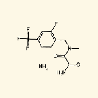 CN(Cc1ccc(C(F)(F)F)cc1F)C(=O)C(N)=O.N